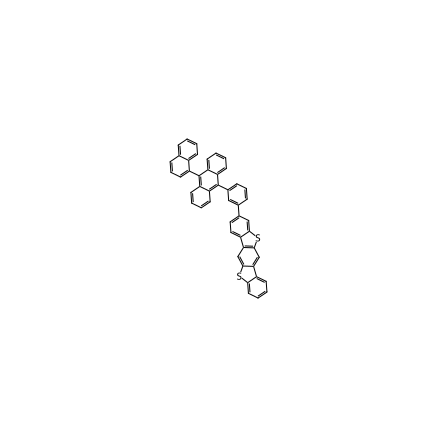 c1cc(-c2ccc3c(c2)sc2cc4c(cc23)sc2ccccc24)cc(-c2c3ccccc3c(-c3cccc4ccccc34)c3ccccc23)c1